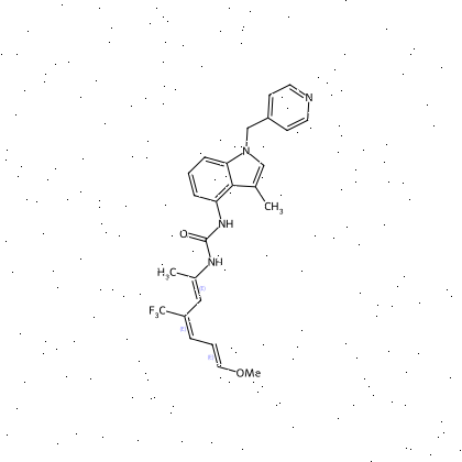 CO/C=C/C=C(\C=C(/C)NC(=O)Nc1cccc2c1c(C)cn2Cc1ccncc1)C(F)(F)F